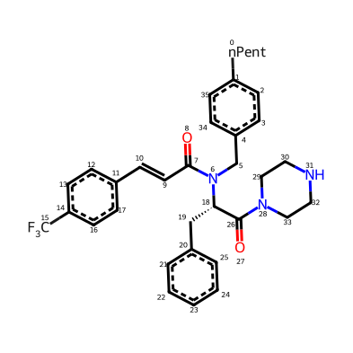 CCCCCc1ccc(CN(C(=O)/C=C/c2ccc(C(F)(F)F)cc2)[C@@H](Cc2ccccc2)C(=O)N2CCNCC2)cc1